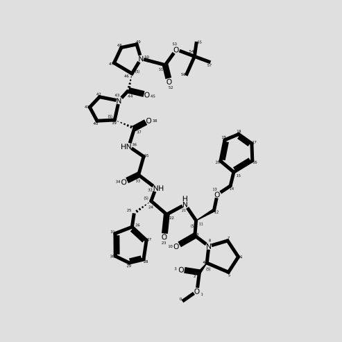 COC(=O)[C@@H]1CCCN1C(=O)[C@H](COCc1ccccc1)NC(=O)[C@H](Cc1ccccc1)NC(=O)CNC(=O)[C@@H]1CCCN1C(=O)[C@@H]1CCCN1C(=O)OC(C)(C)C